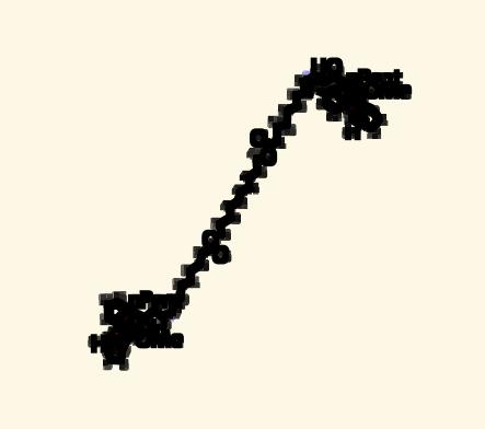 CCCCCC(OC(=O)CN1C2CC[C@@H]1C[C@H](c1ccccc1)C2C(=O)OC)C(O)C/C=C\CCCCCCCC(=O)OCCCCCCCCCCOC(=O)CCCCCCC/C=C\CC(O)C(CCCCC)OC(=O)CN1C2CC[C@H]1C[C@@H](c1ccc(F)cc1)C2C(=O)OC